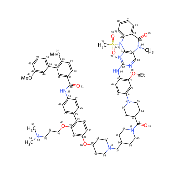 CCOc1cc(N2CCC(C(=O)N3CCC(CN4CCC(Oc5ccc(-c6ccc(NC(=O)c7ccc(OC)c(-c8cccc(OC)c8)c7)cc6)c(OCCCN(C)C)c5)CC4)CC3)CC2)ccc1Nc1ncc2c(n1)N(S(C)(=O)=O)c1ccccc1C(=O)N2C